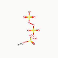 O.O=S(=O)([O-])OOS(=O)(=O)[O-].O=S(O)O.[K+].[Na+]